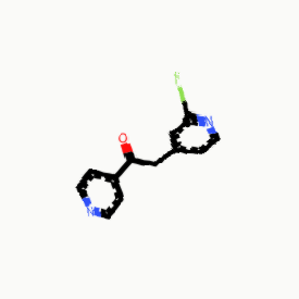 O=C(Cc1ccnc(F)c1)c1ccncc1